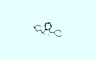 C[C@@H](c1ccccc1[C@@](O)(C(=O)O)[C@@H]1CCC(F)(F)C1)C1CCNCC1